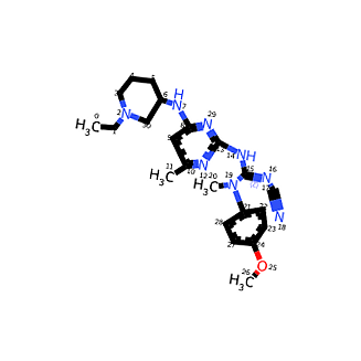 CCN1CCCC(Nc2cc(C)nc(N/C(=N/C#N)N(C)c3ccc(OC)cc3)n2)C1